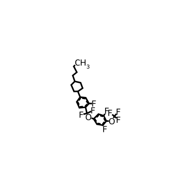 CCCCC1CCC(c2ccc(C(F)(F)Oc3cc(F)c(OC(F)(F)F)c(F)c3)c(F)c2)CC1